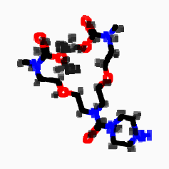 CN(CCOCCN(CCOCCN(C)C(=O)OC(C)(C)C)C(=O)N1CCNCC1)C(=O)OC(C)(C)C